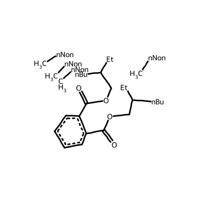 CCCCC(CC)COC(=O)c1ccccc1C(=O)OCC(CC)CCCC.CCCCCCCCCC.CCCCCCCCCC.CCCCCCCCCC.CCCCCCCCCC